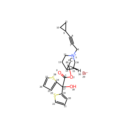 O=C(O[C@H]1C[N+]2(CC#CC3CC3)CCC1CC2)C(O)(c1cccs1)c1cccs1.[Br-]